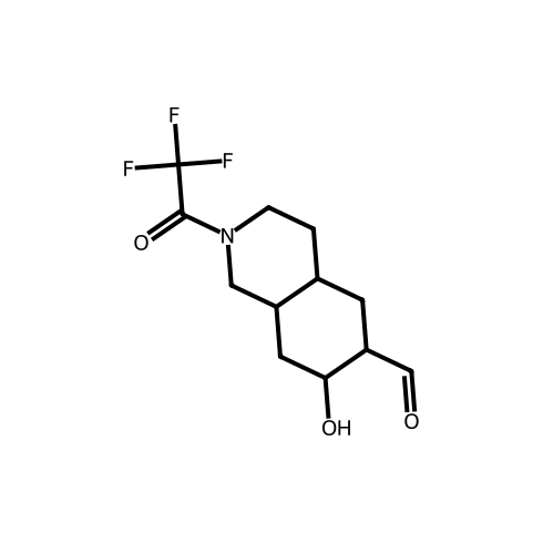 O=CC1CC2CCN(C(=O)C(F)(F)F)CC2CC1O